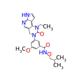 CCN1C(=O)N(c2cc(OC)cc(C(=O)NOCC(C)C)c2)Cc2cnc3[nH]ccc3c21